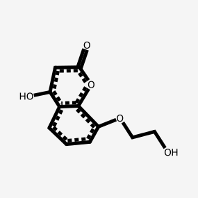 O=c1cc(O)c2cccc(OCCO)c2o1